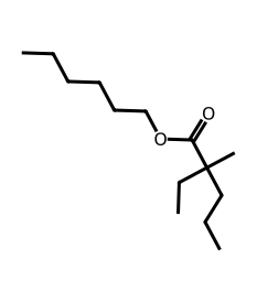 CCCCCCOC(=O)C(C)(CC)CCC